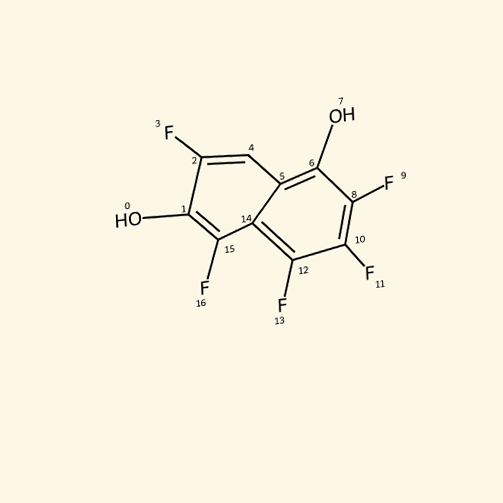 Oc1c(F)cc2c(O)c(F)c(F)c(F)c2c1F